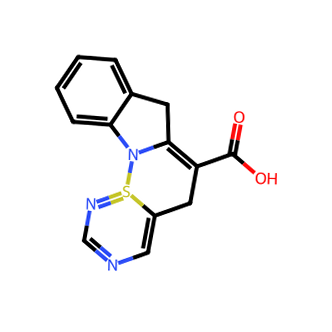 O=C(O)C1=C2Cc3ccccc3N2S2=NC=NC=C2C1